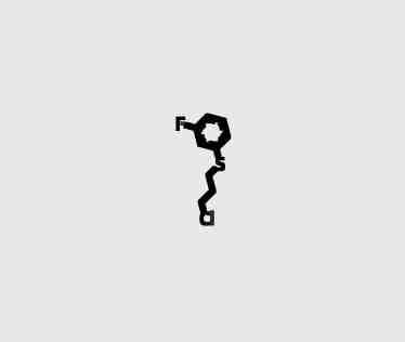 Fc1cccc(SCCCCl)c1